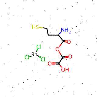 N[C@H](CCS)C(=O)OC(=O)C(=O)O.[Cl][Rh]([Cl])[Cl]